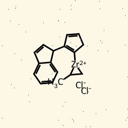 C[CH]1[CH2][Zr+2]1[C]1=C(C2C=Cc3ccccc32)C=CC1.[Cl-].[Cl-]